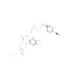 CC(=O)N1CCC(C(=O)N(CCCN2CCC(Nc3ccc(C#N)cc3)CC2)c2ccc(Cl)c(Cl)c2)CC1